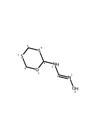 ON=CNC1OCSCS1